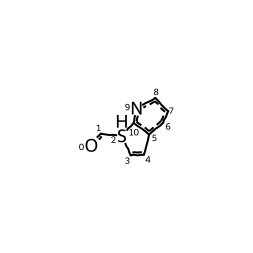 O=C[SH]1C=Cc2cccnc21